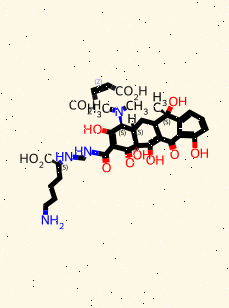 CN(C)[C@@H]1C(O)=C(C(=O)NCN[C@@H](CCCCN)C(=O)O)C(=O)[C@@]2(O)C(O)=C3C(=O)c4c(O)cccc4[C@@](C)(O)C3C[C@@H]12.O=C(O)/C=C\C(=O)O